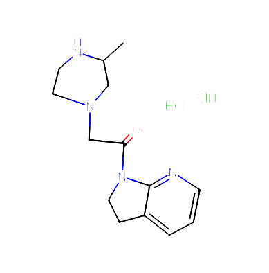 CC1CN(CC(=O)N2CCc3cccnc32)CCN1.Cl.Cl